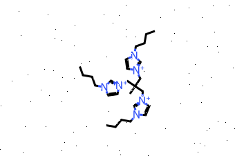 CCCCn1cc[n+](CC(C)(C[n+]2ccn(CCCC)c2)C[n+]2ccn(CCCC)c2)c1